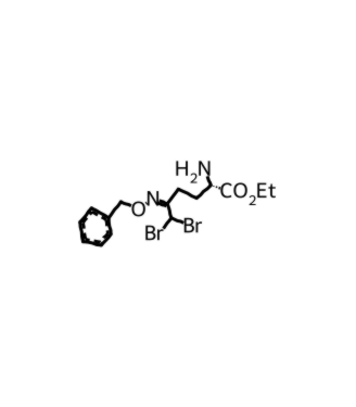 CCOC(=O)[C@@H](N)CCC(=NOCc1ccccc1)C(Br)Br